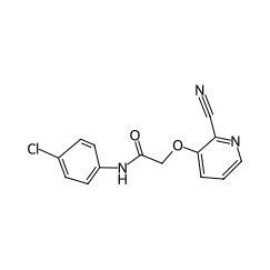 N#Cc1ncccc1OCC(=O)Nc1ccc(Cl)cc1